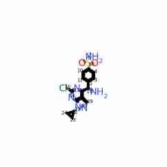 NC(c1ccc(S(N)(=O)=O)cc1)c1nc(Cl)nc2c1cnn2C1CC1